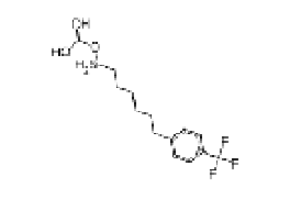 OC(O)O[SiH2]CCCCCCc1ccc(C(F)(F)F)cc1